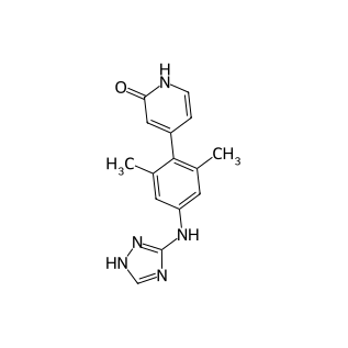 Cc1cc(Nc2nc[nH]n2)cc(C)c1-c1cc[nH]c(=O)c1